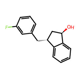 O[C@@H]1C[C@@H](Cc2cccc(F)c2)c2ccccc21